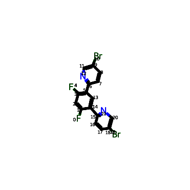 Fc1cc(F)c(-c2ccc(Br)cn2)cc1-c1ccc(Br)cn1